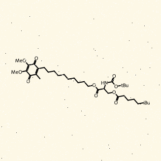 CCC(C)CCCCC(=O)OCC(NC(=O)OC(C)(C)C)C(=O)OCCCCCCCCCCC1=C(C)C(=O)C(OC)=C(OC)C1=O